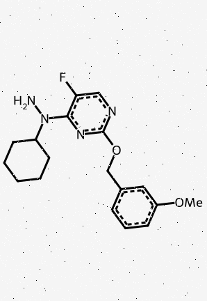 COc1cccc(COc2ncc(F)c(N(N)C3CCCCC3)n2)c1